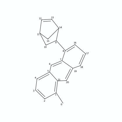 Cc1cccc2cc3c(C4CC5C=CC4C5)cccc3cc12